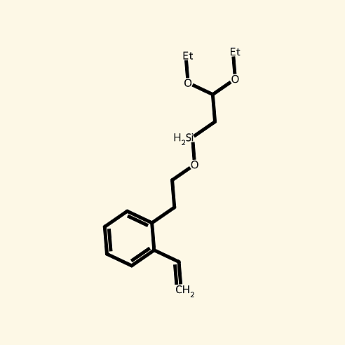 C=Cc1ccccc1CCO[SiH2]CC(OCC)OCC